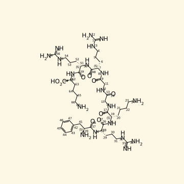 N=C(N)NCCC[C@H](NC(=O)CNC(=O)CNC(=O)[C@H](CCCCN)NC(=O)[C@H](CCCNC(=N)N)NC(=O)[C@@H](N)Cc1ccccc1)C(=O)N[C@@H](CCCNC(=N)N)C(=O)N[C@@H](CCCCN)C(=O)O